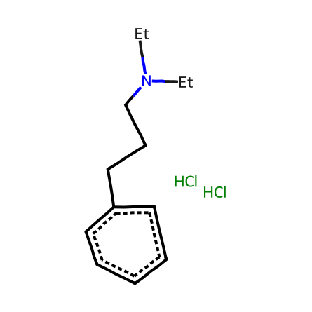 CCN(CC)CCCc1ccccc1.Cl.Cl